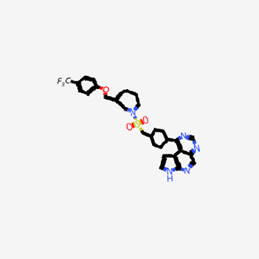 O=S(=O)(CC1CCC(c2ncnc3cnc4[nH]ccc4c23)CC1)N1CCCC(COc2ccc(C(F)(F)F)cc2)C1